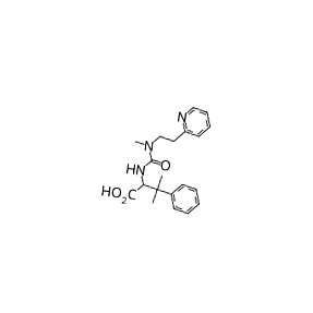 CN(CCc1ccccn1)C(=O)NC(C(=O)O)C(C)(C)c1ccccc1